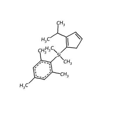 Cc1cc(C)c([Si](C)(C)C2=C(C(C)C)C=CC2)c(C)c1